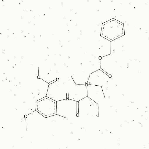 CCC(C(=O)Nc1c(C)cc(OC)cc1C(=O)OC)[N+](CC)(CC)CC(=O)OCc1ccccc1